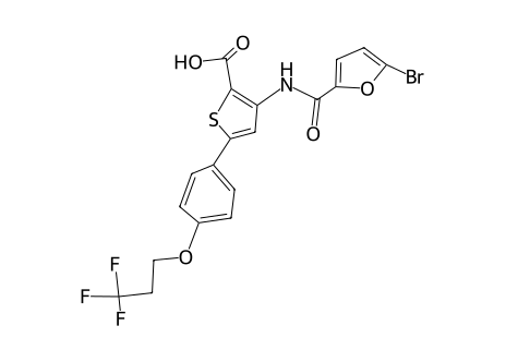 O=C(Nc1cc(-c2ccc(OCCC(F)(F)F)cc2)sc1C(=O)O)c1ccc(Br)o1